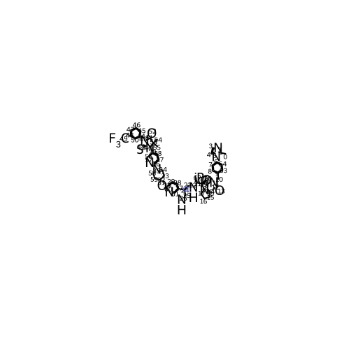 Cc1nccn1-c1ccc(CNC(=O)[C@@H]2CCCN2C(=O)C(N/C=C(\C=N)c2ccc(OC3CCN(c4ccc(N5C(=S)N(c6cccc(C(F)(F)F)c6)C(=O)C5(C)C)cn4)CC3)nc2)C(C)C)cc1